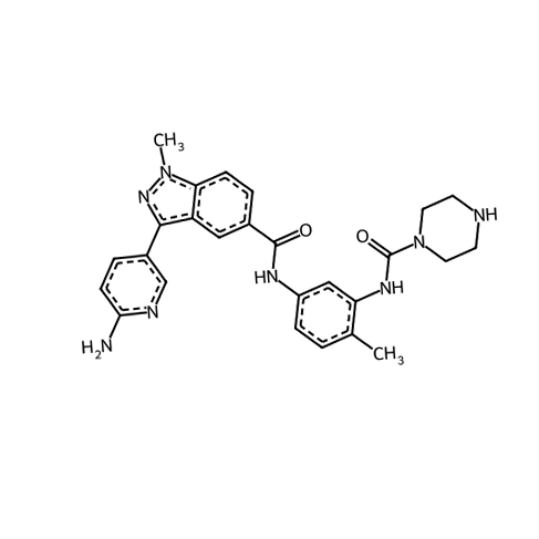 Cc1ccc(NC(=O)c2ccc3c(c2)c(-c2ccc(N)nc2)nn3C)cc1NC(=O)N1CCNCC1